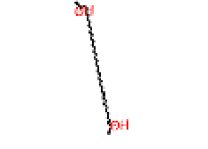 C#C[C@H](O)/C=C\CCCCCCCCCCCCCCCCCCCCCCCC/C=C/CCCCCCC/C=C/[C@@H](O)C#C